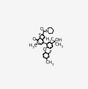 Cc1ccc(Oc2ccc(C(C)(C)O)cc2-c2cn(C)c(=O)c3sc(C(=O)N4CCCCC4)cc23)c(F)c1